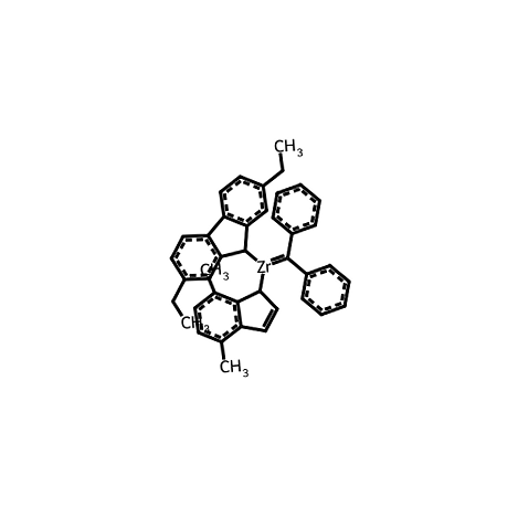 CCc1ccc2c(c1)[CH]([Zr](=[C](c1ccccc1)c1ccccc1)[CH]1C=Cc3c(C)ccc(C)c31)c1cc(CC)ccc1-2